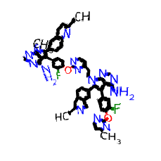 C#Cc1cc2ccc(-c3c(-c4ccc(Oc5nccc(C)n5)c(F)c4)c4c(N)ncnc4n3CCc3ccnc(Oc4ccc(-c5c(-c6ccc7nc(C#C)ccc7c6)n(C)c6ncnc(N)c56)cc4F)n3)cc2cn1